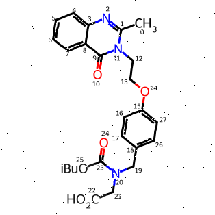 Cc1nc2ccccc2c(=O)n1CCOc1ccc(CN(CC(=O)O)C(=O)OCC(C)C)cc1